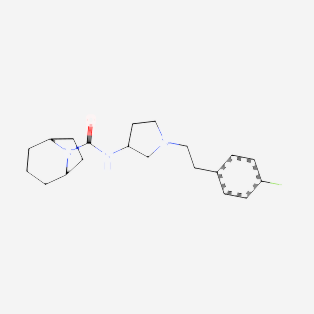 O=C(NC1CCN(CCc2ccc(F)cc2)C1)N1C2CCCC1CC2